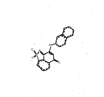 O=C1C=C(Nc2ccc3ccccc3c2)C2=NS(=O)(=O)c3cccc1c32